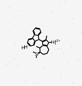 CC1=C(C2c3ccccc3-c3ccccc32)C2=C(CCCC(=[Si](C)C)C2C)[CH]1[Hf+2].[H-].[H-]